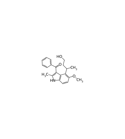 COc1ccc2[nH]c(C)c(C(=O)c3ccccc3)c2c1C(C)CCO